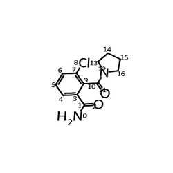 NC(=O)c1cccc(Cl)c1C(=O)N1CCCC1